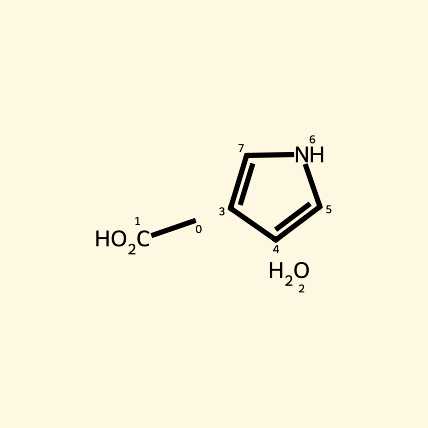 CC(=O)O.O.c1cc[nH]c1